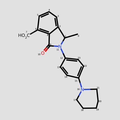 CC1c2cccc(C(=O)O)c2C(=O)N1c1ccc(N2CCCCC2)cc1